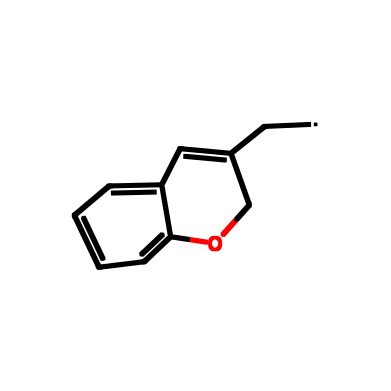 [CH2]CC1=Cc2ccccc2OC1